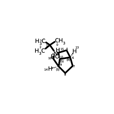 CC(C)(C)N1C[C@H]2CC[C@@H](C1)[C@@H]2O